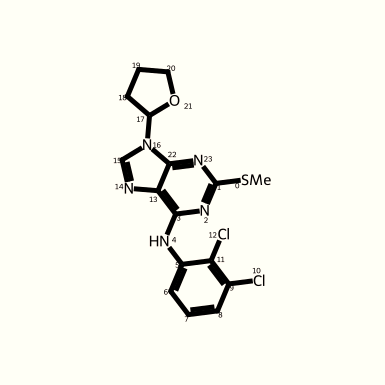 CSc1nc(Nc2cccc(Cl)c2Cl)c2ncn(C3CCCO3)c2n1